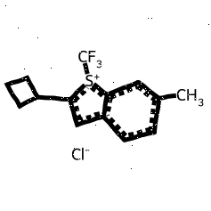 Cc1ccc2cc(C3CCC3)[s+](C(F)(F)F)c2c1.[Cl-]